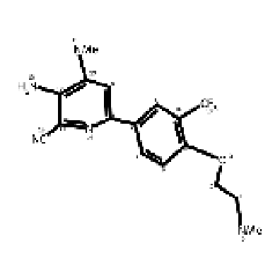 CNCCOc1ccc(-c2cc(NC)c(N)c(C#N)n2)cc1C(F)(F)F